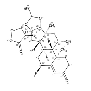 CCCC1O[C@@H]2C[C@H]3[C@@H]4C[C@H](F)C5=CC(=O)CC[C@]5(C)[C@@]4(F)[C@@H](O)C[C@]3(C)[C@]2(S[C@@H]2CCOC2=O)O1